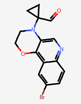 O=CC1(N2CCOc3c2cnc2ccc(Br)cc32)CC1